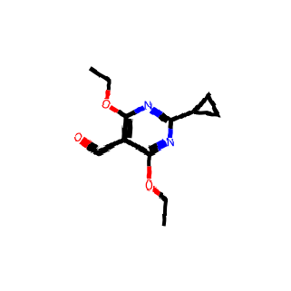 CCOc1nc(C2CC2)nc(OCC)c1C=O